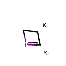 C1=PCC1.[K].[K]